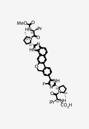 COC(=O)N[C@H](C(=O)N1[C@@H](C)CC[C@H]1c1nc2ccc3cc4c(cc3c2[nH]1)OCc1cc(-c2[nH]c([C@@H]3CC[C@H](C)N3C(=O)[C@@H](NC(=O)O)C(C)C)nc2F)ccc1-4)C(C)C